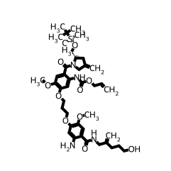 C=CCOC(=O)Nc1cc(OCCCOc2cc(N)c(C(=O)NCC(=C)CCCO)cc2OC)c(OC)cc1C(=O)N1CC(=C)C[C@H]1CO[Si](C)(C)C(C)(C)C